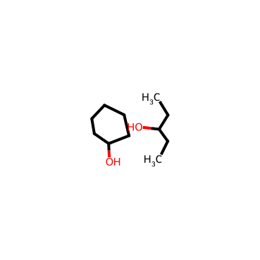 CCC(O)CC.OC1CCCCC1